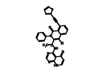 C[C@H](Nc1ncnc2[nH]ccc(=O)c12)c1c(Cl)c2cccc(C#Cc3cccs3)c2c(=O)n1-c1ccccc1